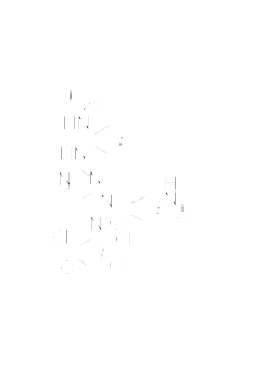 C=CC(=O)Nc1ccccc1Nc1ncc2c(n1)N(Cc1cccc(NC(=O)CC)c1)C(=O)N(c1c(Cl)c(OC)cc(OC)c1Cl)C2